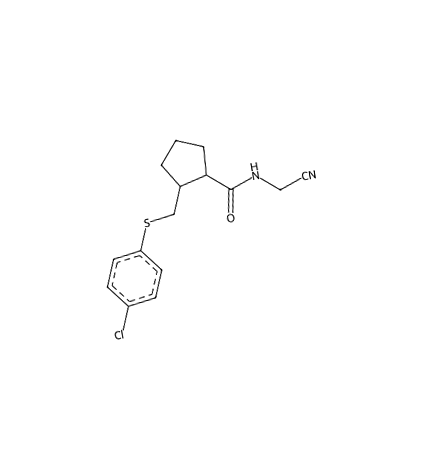 N#CCNC(=O)C1CCCC1CSc1ccc(Cl)cc1